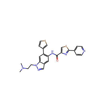 CN(C)CCn1ncc2cc(NC(=O)c3csc(-c4ccncc4)n3)c(-c3ccsc3)cc21